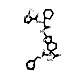 CNC(=O)C1(NC(=O)OCc2ccccc2)CCc2cc(NC(=O)[C@@H](NC(=O)c3ccnn3C)C3CCCCC3)sc2C1